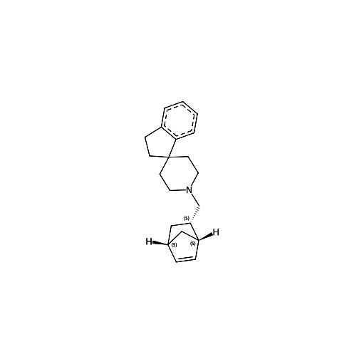 C1=C[C@@H]2C[C@H]1C[C@@H]2CN1CCC2(CCc3ccccc32)CC1